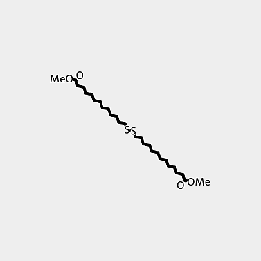 COC(=O)CCCCCCCCCCCCSSCCCCCCCCCCCCC(=O)OC